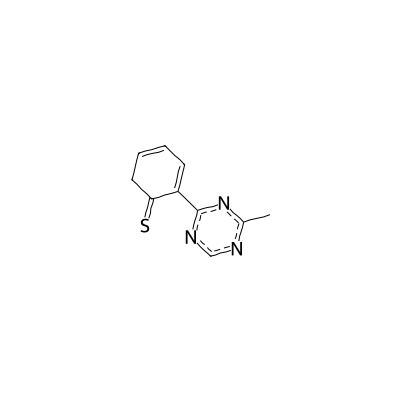 Cc1ncnc(C2=CC=CCC2=S)n1